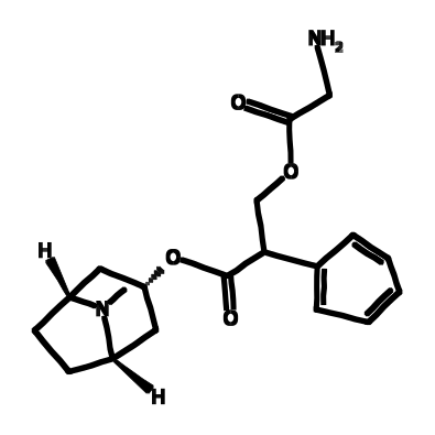 CN1[C@@H]2CC[C@H]1C[C@@H](OC(=O)C(COC(=O)CN)c1ccccc1)C2